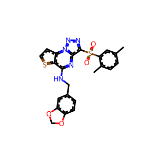 Cc1ccc(C)c(S(=O)(=O)c2nnn3c2nc(NCc2ccc4c(c2)OCO4)c2sccc23)c1